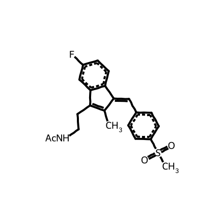 CC(=O)NCCC1=C(C)C(=Cc2ccc(S(C)(=O)=O)cc2)c2ccc(F)cc21